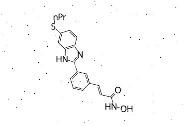 CCCSc1ccc2nc(-c3cccc(/C=C/C(=O)NO)c3)[nH]c2c1